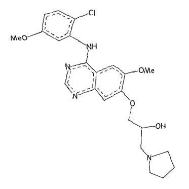 COc1ccc(Cl)c(Nc2ncnc3cc(OCC(O)CN4CCCC4)c(OC)cc23)c1